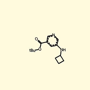 CC(C)(C)OC(=O)c1cncc(NC2CCC2)c1